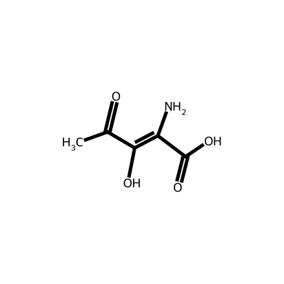 CC(=O)/C(O)=C(\N)C(=O)O